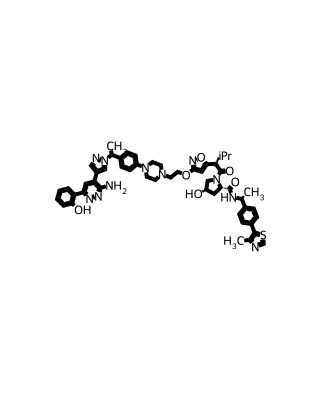 Cc1ncsc1-c1ccc([C@H](C)NC(=O)[C@@H]2C[C@@H](O)CN2C(=O)[C@@H](c2cc(OCCN3CCN(c4ccc(C(C)n5cc(-c6cc(-c7ccccc7O)nnc6N)cn5)cc4)CC3)no2)C(C)C)cc1